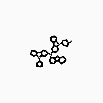 Fc1ccc(-n2c3ccccc3c3cc(N(c4ccc5c6ccccc6n(-c6ccccc6)c5c4)c4cccc5c4sc4ccccc45)ccc32)cc1